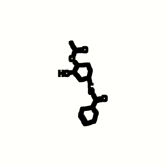 CC(=O)OC1CCC(COC(=O)C2CC=CCC2)CC1O